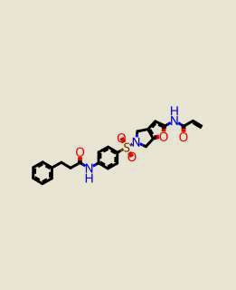 C=CC(=O)Nc1cc2c(o1)CN(S(=O)(=O)c1ccc(NC(=O)CCc3ccccc3)cc1)C2